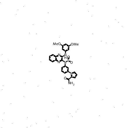 COc1cc(Nc2nc3ccccc3nc2N(c2cccc(-n3cccc3C(N)=O)c2)[SH](=O)=O)cc(OC)c1